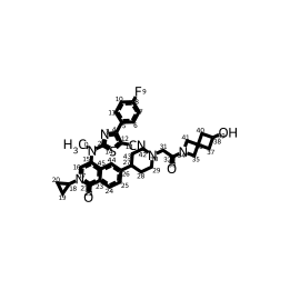 CN(c1nc(-c2ccc(F)cc2)c(C#N)s1)c1cn(C2CC2)c(=O)c2ccc(C3CCN(CC(=O)N4CC5(CC(O)C5)C4)CC3)cc12